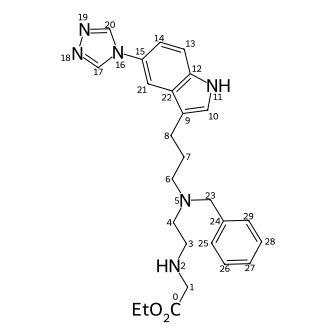 CCOC(=O)CNCCN(CCCc1c[nH]c2ccc(-n3cnnc3)cc12)Cc1ccccc1